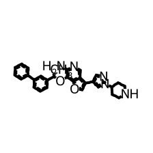 CC(Oc1c(N)ncc2c(-c3cnn(C4CCNCC4)c3)coc12)c1cccc(-c2ccccc2)c1